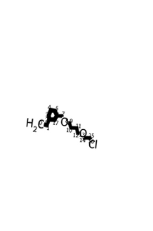 C=Cc1cccc(COCCCCOCCCl)c1